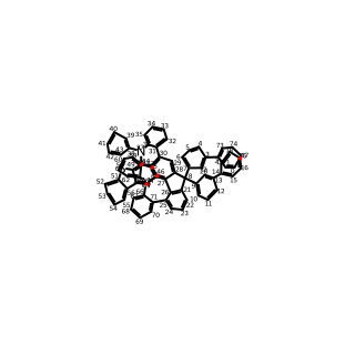 C1=CC(c2cccc(C3(c4cccc(-c5ccccc5)c4)c4cccc5c4-c4c3cc(-c3ccccc3N(c3ccccc3)c3cccc6c3sc3ccccc36)c3c6ccccc6n(c43)-c3ccccc3-5)c2)=CCC1